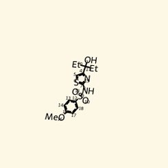 CCC(O)(CC)c1csc(NS(=O)(=O)c2ccc(OC)cc2)n1